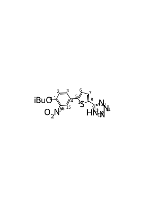 CC(C)COc1ccc(-c2ccc(-c3nnn[nH]3)s2)cc1[N+](=O)[O-]